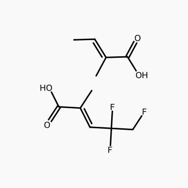 C/C(=C\C(F)(F)CF)C(=O)O.C/C=C(\C)C(=O)O